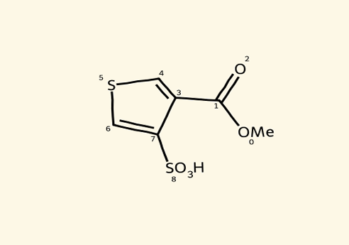 COC(=O)c1cscc1S(=O)(=O)O